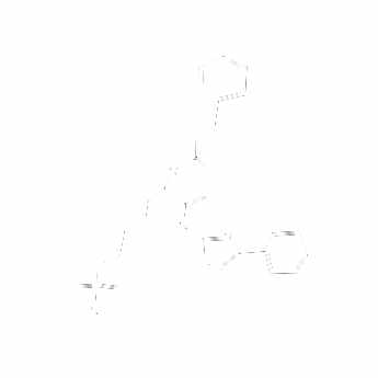 NS(=O)(=O)OCCCCC(NC(=O)OCc1ccccc1)C(=O)Nc1nc(-c2ccccc2)cs1